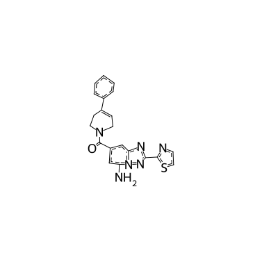 Nc1cc(C(=O)N2CC=C(c3ccccc3)CC2)cc2nc(-c3nccs3)nn12